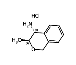 C[C@@H]1OCc2ccccc2[C@H]1N.Cl